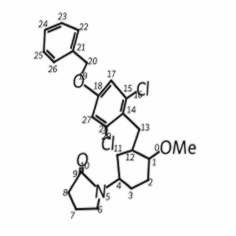 COC1CCC(N2CCCC2=O)CC1Cc1c(Cl)cc(OCc2ccccc2)cc1Cl